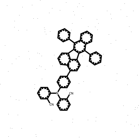 N#Cc1ccccc1N(c1ccc(-c2ccc3c4c(cccc24)-c2c-3c(-c3ccccc3)c3ccccc3c2-c2ccccc2)cc1)c1ccccc1C#N